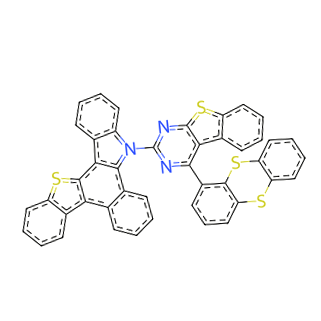 c1ccc2c(c1)Sc1cccc(-c3nc(-n4c5ccccc5c5c6sc7ccccc7c6c6ccccc6c54)nc4sc5ccccc5c34)c1S2